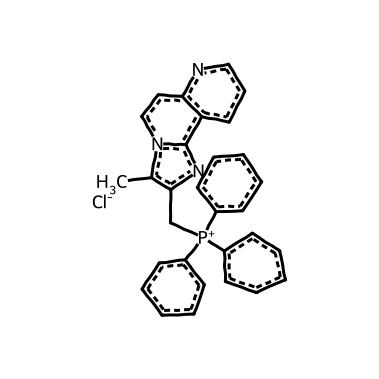 Cc1c(C[P+](c2ccccc2)(c2ccccc2)c2ccccc2)nc2c3cccnc3ccn12.[Cl-]